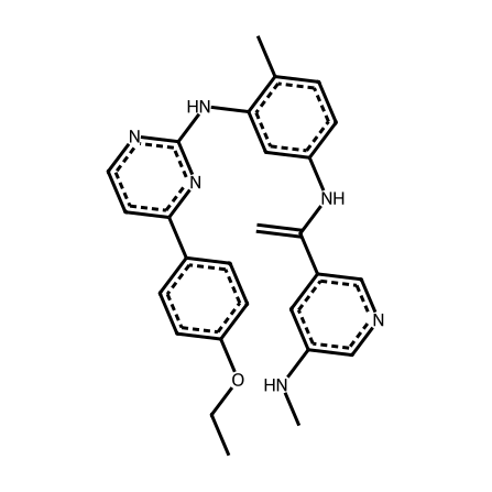 C=C(Nc1ccc(C)c(Nc2nccc(-c3ccc(OCC)cc3)n2)c1)c1cncc(NC)c1